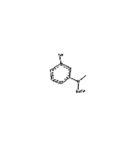 CNN(C)c1cccc(S)c1